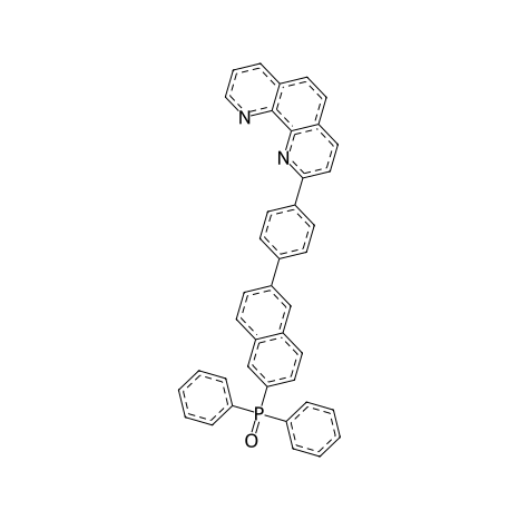 O=P(c1ccccc1)(c1ccccc1)c1ccc2cc(-c3ccc(-c4ccc5ccc6cccnc6c5n4)cc3)ccc2c1